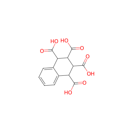 O=C(O)C1c2ccccc2C(C(=O)O)C(C(=O)O)C1C(=O)O